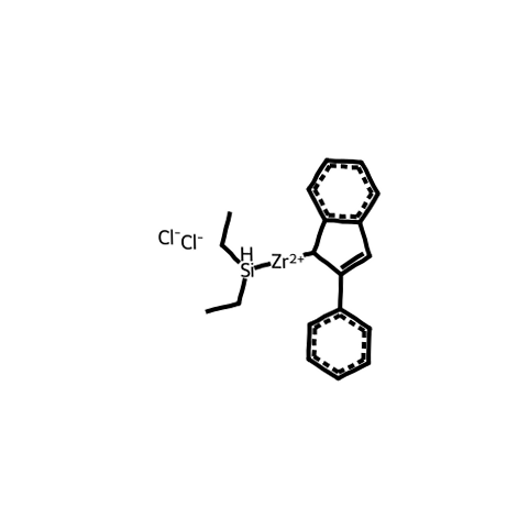 CC[SiH](CC)[Zr+2][CH]1C(c2ccccc2)=Cc2ccccc21.[Cl-].[Cl-]